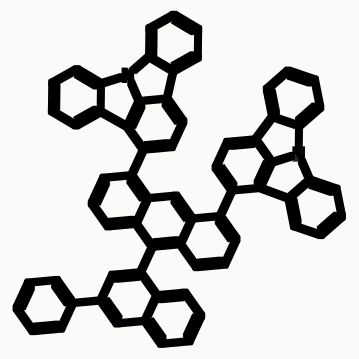 c1ccc(-c2cc(-c3c4cccc(-c5ccc6c7ccccc7n7c8ccccc8c5c67)c4cc4c(-c5ccc6c7ccccc7n7c8ccccc8c5c67)cccc34)c3ccccc3c2)cc1